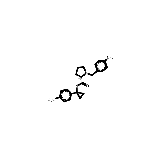 O=C(O)c1ccc(C2(NC(=O)[C@@H]3CCCN3Cc3ccc(C(F)(F)F)cc3)CC2)cc1